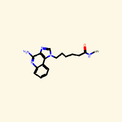 CCCNC(=O)CCCCCn1cnc2c(N)nc3ccccc3c21